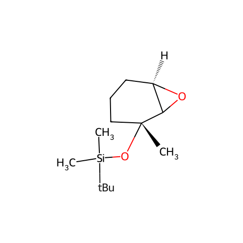 CC(C)(C)[Si](C)(C)O[C@]1(C)CCC[C@H]2OC21